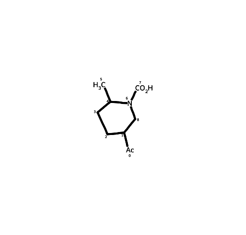 CC(=O)C1CCC(C)N(C(=O)O)C1